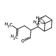 C=C(C)CC(C=O)C1CCC2CC1C2(C)C